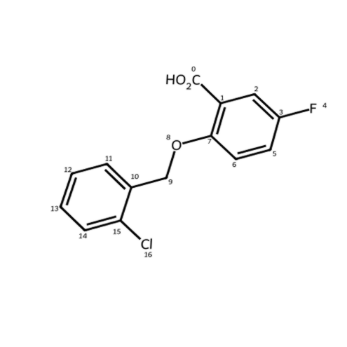 O=C(O)c1cc(F)ccc1OCc1ccccc1Cl